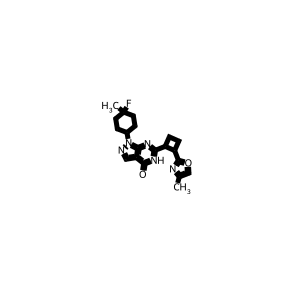 Cc1coc(C2CCC2c2nc3c(cnn3C3CCC(C)(F)CC3)c(=O)[nH]2)n1